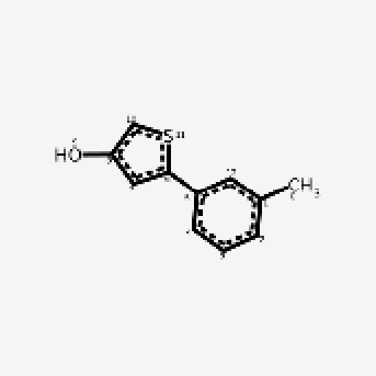 Cc1cccc(-c2cc(O)cs2)c1